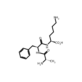 C[C@H](N)C(=O)N[C@@H](Cc1ccccc1)C(=O)N[C@@H](CCCCN)C(=O)O